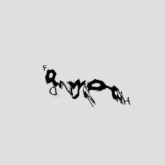 O=C(c1ccc(F)cc1)N1CCC(Cn2cnc3cc(-c4cn[nH]c4)ccc32)CC1